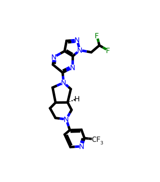 FC(F)Cn1ncc2ncc(N3CC4CCN(c5ccnc(C(F)(F)F)c5)C[C@@H]4C3)nc21